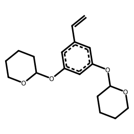 C=Cc1cc(OC2CCCCO2)cc(OC2CCCCO2)c1